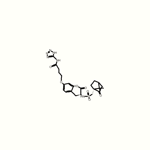 CC1(C)C2CC[C@]1(CS(=O)(=O)N[C@@H](Cc1ccc(OCCCC(=O)Nc3nnn[nH]3)cc1)C(=O)O)C(=O)C2